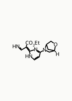 CCOC(=O)/C(C=N)=C1\N=C(N2C[C@@H]3CC2CO3)C=CN1